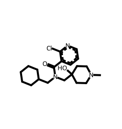 CN1CCC(O)(CN(CC2CCCCC2)C(=O)c2cccnc2Cl)CC1